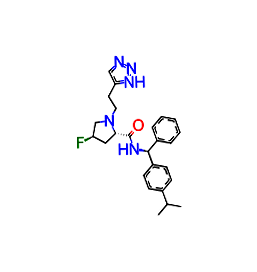 CC(C)c1ccc([C@@H](NC(=O)[C@@H]2C[C@@H](F)CN2CCc2cnn[nH]2)c2ccccc2)cc1